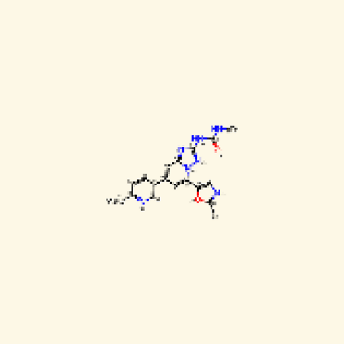 CCNC(=O)Nc1nc2cc(-c3ccc(OC)nc3)cc(-c3cnc(C)o3)n2n1